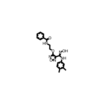 Cc1ccc(N/C(=N\O)c2nonc2OCCNC(=O)c2ccccc2)cc1C